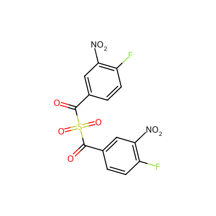 O=C(c1ccc(F)c([N+](=O)[O-])c1)S(=O)(=O)C(=O)c1ccc(F)c([N+](=O)[O-])c1